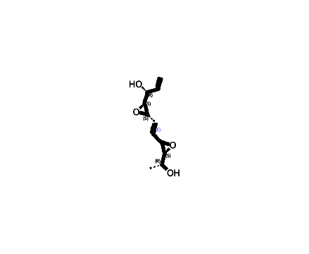 C=C[C@@H](O)[C@@H]1O[C@H]1/C=C/C1O[C@H]1[C@@H](C)O